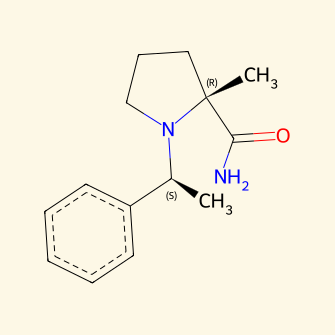 C[C@@H](c1ccccc1)N1CCC[C@]1(C)C(N)=O